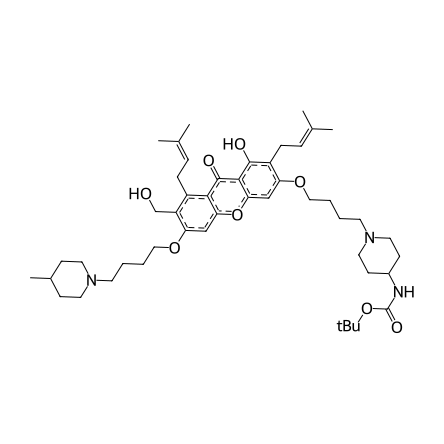 CC(C)=CCc1c(OCCCCN2CCC(NC(=O)OC(C)(C)C)CC2)cc2oc3cc(OCCCCN4CCC(C)CC4)c(CO)c(CC=C(C)C)c3c(=O)c2c1O